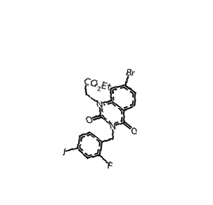 CCOC(=O)Cn1c(=O)n(Cc2ccc(I)cc2F)c(=O)c2ccc(Br)cc21